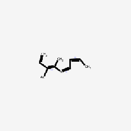 C=C/C(C(C)=O)=C(C)/N=C\C=C/C